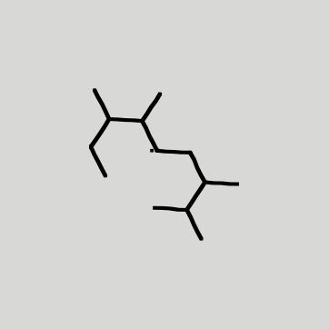 CCC(C)C(C)[CH]CC(C)C(C)C